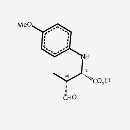 CCOC(=O)[C@@H](Nc1ccc(OC)cc1)[C@@H](C)C=O